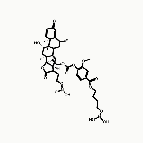 COc1cc(C(=O)OCCCCON(O)O)ccc1OC(=O)OCC(=O)[C@@]12OC(=O)C(CCON(O)O)[C@@H]1CC1C3C[C@H](F)C4=CC(=O)C=C[C@]4(C)[C@@]3(F)[C@@H](O)C[C@@]12C